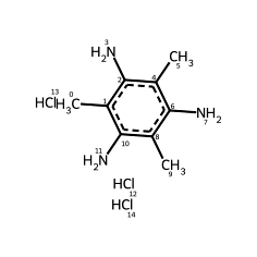 Cc1c(N)c(C)c(N)c(C)c1N.Cl.Cl.Cl